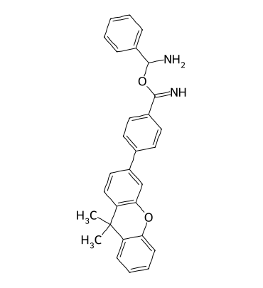 CC1(C)c2ccccc2Oc2cc(-c3ccc(C(=N)OC(N)c4ccccc4)cc3)ccc21